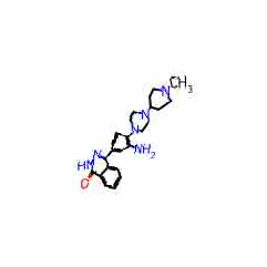 CN1CCC(N2CCN(c3ccc(-c4n[nH]c(=O)c5ccccc45)cc3N)CC2)CC1